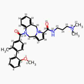 COc1ccccc1-c1ccc(C(=O)N2Cc3ccc(C(=O)NCCCN(C)C)n3Cc3ccccc32)cc1C